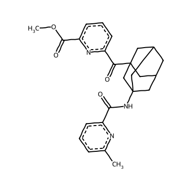 COC(=O)c1cccc(C(=O)C23CC4CC(CC(NC(=O)c5cccc(C)n5)(C4)C2)C3)n1